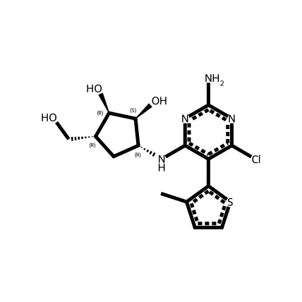 Cc1ccsc1-c1c(Cl)nc(N)nc1N[C@@H]1C[C@H](CO)[C@@H](O)[C@H]1O